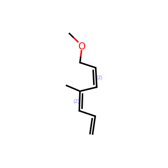 C=C/C=C(C)\C=C/COC